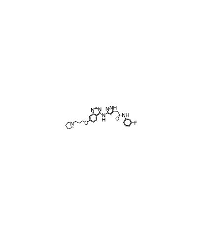 O=C(Cc1cc(Nc2ncnc3cc(OCCCN4[CH]CCC4)ccc23)n[nH]1)Nc1cccc(F)c1